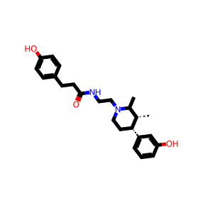 CC1[C@H](C)[C@H](c2cccc(O)c2)CCN1CCNC(=O)CCc1ccc(O)cc1